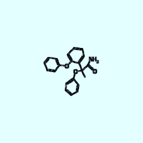 CC(Oc1ccccc1)(C(N)=O)c1ccccc1Oc1ccccc1